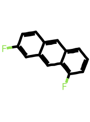 Fc1ccc2cc3cccc(F)c3cc2c1